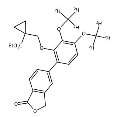 [2H]C([2H])([2H])Oc1ccc(-c2ccc3c(c2)COC3=O)c(OCC2(C(=O)OCC)CC2)c1OC([2H])([2H])[2H]